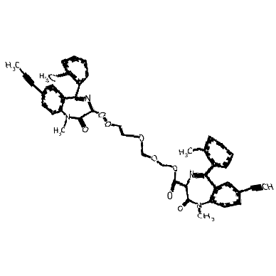 C#Cc1ccc2c(c1)C(c1ccccc1C)=NC(C(=O)OCOCOCCOOC1N=C(c3ccccc3C)c3cc(C#CC)ccc3N(C)C1=O)C(=O)N2C